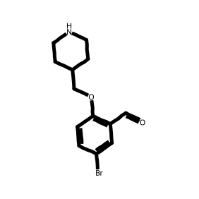 O=Cc1cc(Br)ccc1OCC1CCNCC1